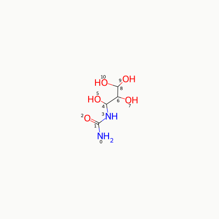 NC(=O)NC(O)C(O)C(O)O